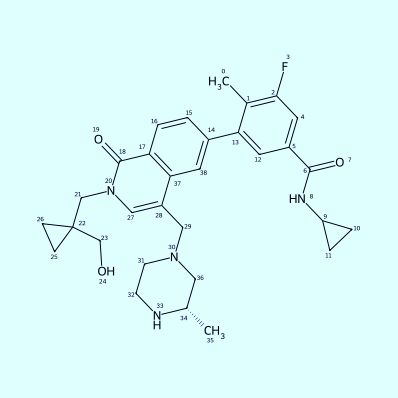 Cc1c(F)cc(C(=O)NC2CC2)cc1-c1ccc2c(=O)n(CC3(CO)CC3)cc(CN3CCN[C@@H](C)C3)c2c1